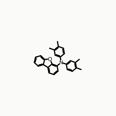 Cc1ccc(N(c2ccc(C)c(C)c2)c2cccc3c2oc2ccccc23)cc1C